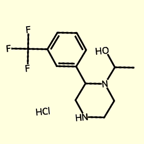 CC(O)N1CCNCC1c1cccc(C(F)(F)F)c1.Cl